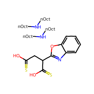 CCCCCCCCNCCCCCCCC.CCCCCCCCNCCCCCCCC.OC(=S)CC(C(O)=S)c1nc2ccccc2o1